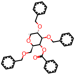 O=C(O[C@@H]1[C@H](OCc2ccccc2)[C@@H](OCc2ccccc2)[CH]O[C@@H]1COCc1ccccc1)c1ccccc1